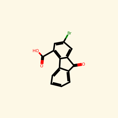 O=C(O)c1cc(Br)cc2c1-c1ccccc1C2=O